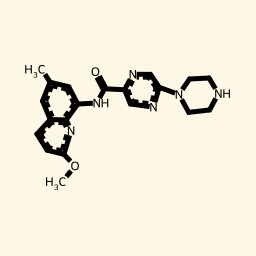 COc1ccc2cc(C)cc(NC(=O)c3cnc(N4CCNCC4)cn3)c2n1